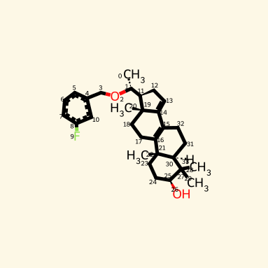 C[C@@H](OCc1cccc(F)c1)[C@H]1CC=C2C3=C(CC[C@@]21C)[C@@]1(C)CC[C@H](O)C(C)(C)[C@@H]1CC3